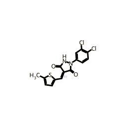 Cc1ccc(/C=C2\C(=O)NN(c3ccc(Cl)c(Cl)c3)C2=O)s1